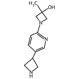 CC1(O)CN(c2ccc(C3CNC3)cn2)C1